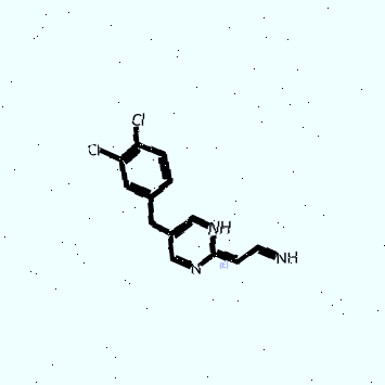 N=C/C=C1/N=CC(Cc2ccc(Cl)c(Cl)c2)=CN1